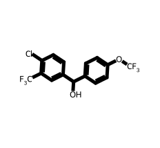 OC(c1ccc(OC(F)(F)F)cc1)c1ccc(Cl)c(C(F)(F)F)c1